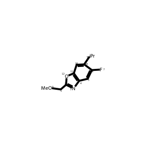 COCc1nc2cc(F)c(C(C)C)cc2o1